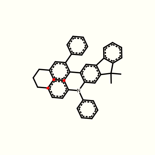 CC1(C)c2ccccc2-c2cc(-c3cc4c(cc3-c3ccccc3)CCCC4)c(N(c3ccccc3)c3ccccc3)cc21